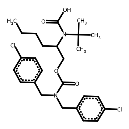 CCCCC(COC(=O)N(Cc1ccc(Cl)cc1)Cc1ccc(Cl)cc1)N(C(=O)O)C(C)(C)C